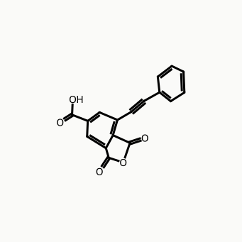 O=C(O)c1cc(C#Cc2ccccc2)c2c(c1)C(=O)OC2=O